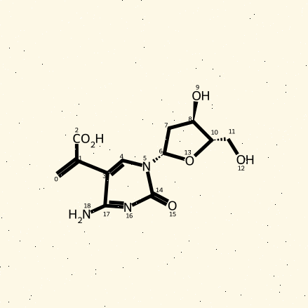 C=C(C(=O)O)c1cn([C@@H]2C[C@@H](O)[C@H](CO)O2)c(=O)nc1N